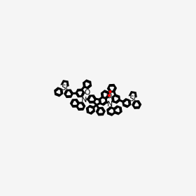 c1ccc(C2(c3ccccc3)c3cc(N(c4cccc5ccccc45)c4cc(-c5cccc([Si]6(c7ccccc7)CCCC6)c5)cc5c4oc4ccccc45)ccc3-c3c2cc(N(c2cccc4ccccc24)c2cc(-c4cccc([Si]5(c6ccccc6)CCCC5)c4)cc4c2oc2ccccc24)c2ccccc32)cc1